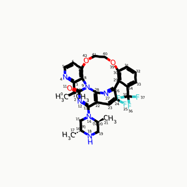 CC(C)c1nccc2c1-n1c(=O)nc(N3C[C@@H](C)NC[C@@H]3C)c3cc(F)c(nc31)-c1c(cccc1C(F)(F)F)OCCO2